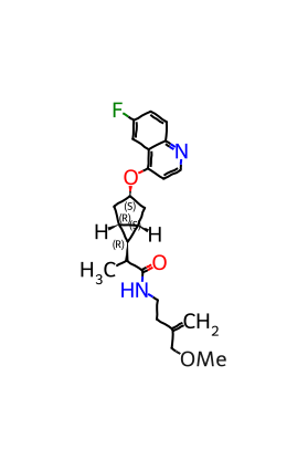 C=C(CCNC(=O)C(C)[C@H]1[C@@H]2C[C@@H](Oc3ccnc4ccc(F)cc34)C[C@@H]21)COC